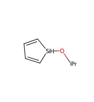 CC(C)O[SiH]1C=CC=C1